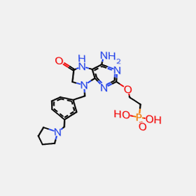 Nc1nc(OCCP(=O)(O)O)nc2c1NC(=O)CN2Cc1cccc(CN2CCCC2)c1